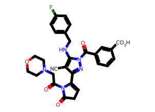 N#Cc1c(C2=CCC(=O)N2C(=O)CN2CCOCC2)nn(C(=O)c2cccc(C(=O)O)c2)c1NCc1ccc(F)cc1